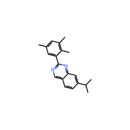 Cc1cc(C)c(C)c(-c2ncc3ccc(C(C)C)cc3n2)c1